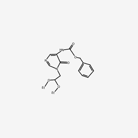 CCOC(Cn1cncc(NC(=O)OCc2ccccc2)c1=O)OCC